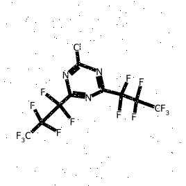 FC(F)(F)C(F)(F)C(F)(F)c1nc(Cl)nc(C(F)(F)C(F)(F)C(F)(F)F)n1